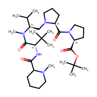 CC(C)[C@@H](CN1CCC[C@H]1C(=O)N1CCC[C@H]1C(=O)OC(C)(C)C)N(C)C(=O)[C@@H](NC(=O)C1CCCCN1C)C(C)(C)C